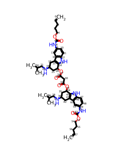 C=CCCCOC(=O)Nc1ccc2[nH]c3c(c2c1)CC(NCC(C)C)CC3OC(=O)CC(=O)OC1CC(NCC(C)C)Cc2c1[nH]c1ccc(NC(=O)OCCCC=C)cc21